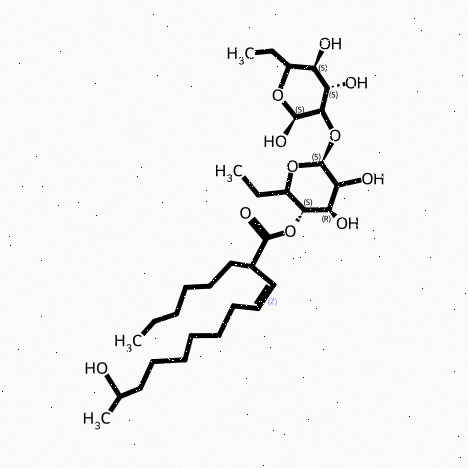 CCCCCCC(/C=C\CCCCCCC(C)O)C(=O)O[C@@H]1C(CC)O[C@@H](OC2[C@@H](O)[C@H](O)C(CC)O[C@@H]2O)C(O)[C@H]1O